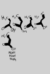 C=CC(=O)O.C=CC(=O)O.C=CC(=O)O.C=CC(=O)O.C=CC(=O)O.[NaH].[NaH].[NaH]